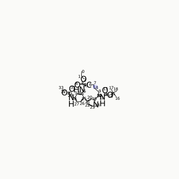 CCOC(=O)[C@H]1C/C=C/C[C@H](NC(=O)OC(C)(C)C)c2cc(ccn2)-c2ccc(NC(=O)OC)cc2N1